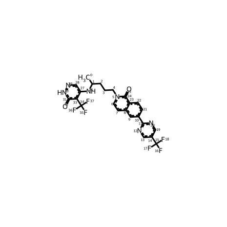 CC(CCCn1ccc2cc(-c3ncc(C(F)(F)F)cn3)ccc2c1=O)Nc1cn[nH]c(=O)c1C(F)(F)F